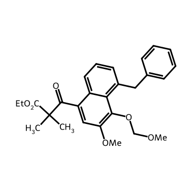 CCOC(=O)C(C)(C)C(=O)c1cc(OC)c(OCOC)c2c(Cc3ccccc3)cccc12